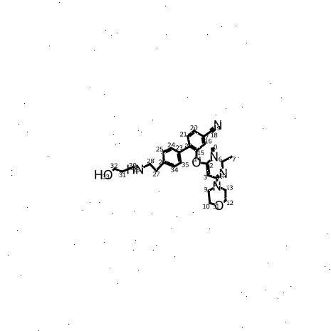 C=N/C(=C\C(=N/CC)N1CCOCC1)Oc1cc(C#N)ccc1-c1ccc(CCNCCCO)cc1